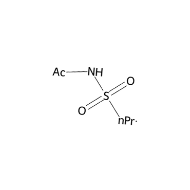 CC[CH]S(=O)(=O)NC(C)=O